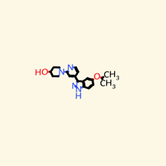 CC(C)Oc1ccc2[nH]nc(-c3ccnc(N4CCC(O)CC4)c3)c2c1